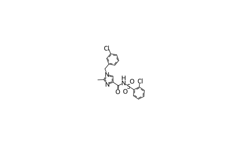 Cc1nc(C(=O)NS(=O)(=O)c2ccccc2Cl)cn1Cc1cccc(Cl)c1